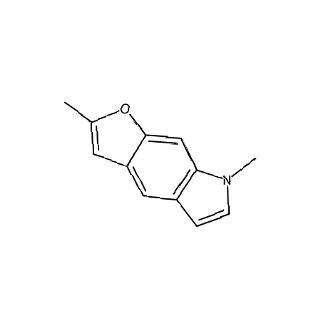 Cc1cc2cc3ccn(C)c3cc2o1